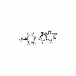 Fc1ccc(-c2cc3cccnc3s2)cc1